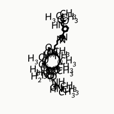 CC[C@H]1OC(=O)[C@H](C)C(=O)[C@H](C)[C@@H](O[C@@H]2O[C@H](CNC(=O)CNC(C)(C)C)CC(N)C2O)[C@](C)(OC)C[C@@H](C)CN[C@H](C)[C@@H]2[C@@H]1OC(=O)N2CCCCn1cc(-c2cccc(NC(=O)OC(C)(C)C)c2)nn1